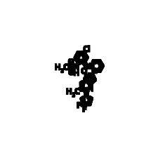 Cc1cn2nc([C@@H]3CCCCN3C(=O)c3cc(Cl)ccc3NS(C)(=O)=O)cc2nc1N1CCC(F)(F)C1